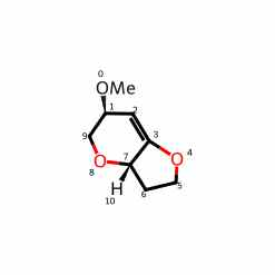 CO[C@H]1C=C2OCC[C@@H]2OC1